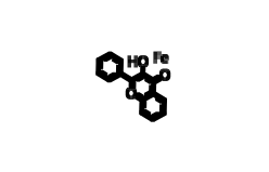 O=c1c(O)c(-c2ccccc2)oc2ccccc12.[Fe]